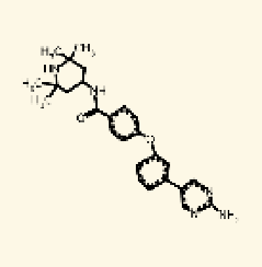 CC1(C)CC(NC(=O)c2ccc(Oc3cccc(-c4cnc(N)nc4)c3)cc2)CC(C)(C)N1